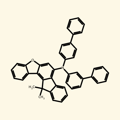 CC1(C)c2ccccc2-c2c(N(c3ccc(-c4ccccc4)cc3)c3cccc(-c4ccccc4)c3)cc3oc4ccccc4c3c21